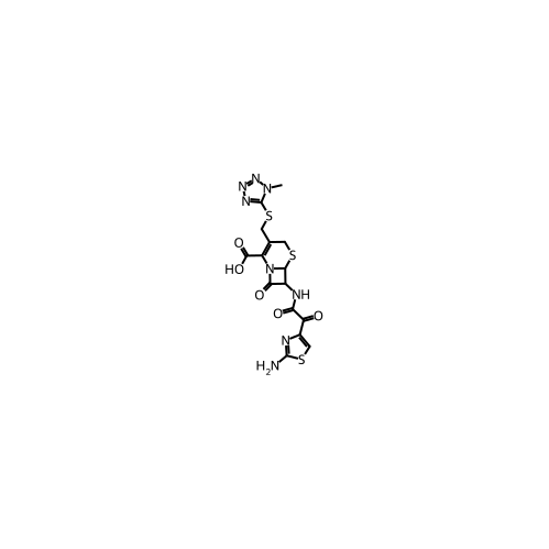 Cn1nnnc1SCC1=C(C(=O)O)N2C(=O)C(NC(=O)C(=O)c3csc(N)n3)C2SC1